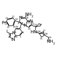 Cc1cnc2ccc(-c3c(-c4ccc(F)cc4)nc(N)c4nc(C(=O)NC56CC(CN)(C5)C6)cn34)cn12